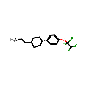 CCC[C@H]1CC[C@H](c2ccc(OC(F)(F)C(F)Cl)cc2)CC1